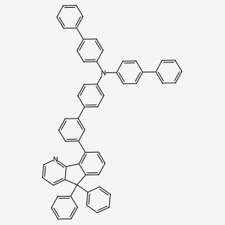 c1ccc(-c2ccc(N(c3ccc(-c4ccccc4)cc3)c3ccc(-c4cccc(-c5cccc6c5-c5ncccc5C6(c5ccccc5)c5ccccc5)c4)cc3)cc2)cc1